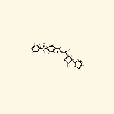 O=C(NCc1ccc(S(=O)(=O)c2ccccc2)cc1)c1cc(-c2cccnc2)[nH]n1